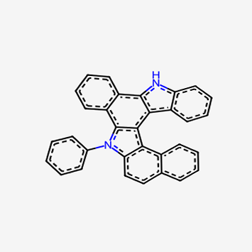 c1ccc(-n2c3ccc4ccccc4c3c3c4c5ccccc5[nH]c4c4ccccc4c32)cc1